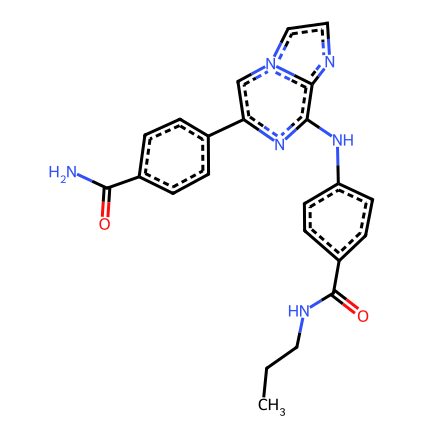 CCCNC(=O)c1ccc(Nc2nc(-c3ccc(C(N)=O)cc3)cn3ccnc23)cc1